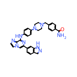 NC(=O)c1ccc(CN2CCN(c3ccc(Nc4nc(-c5ccc6cn[nH]c6c5)cn5ccnc45)cc3)CC2)cc1